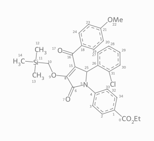 CCOC(=O)c1ccc(N2C(=O)C(OC[Si](C)(C)C)=C(C(=O)c3ccc(OC)cc3)C2c2ccccc2Cl)cc1